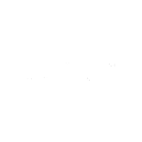 OC(COC(F)(F)F)CN1CCNCC1